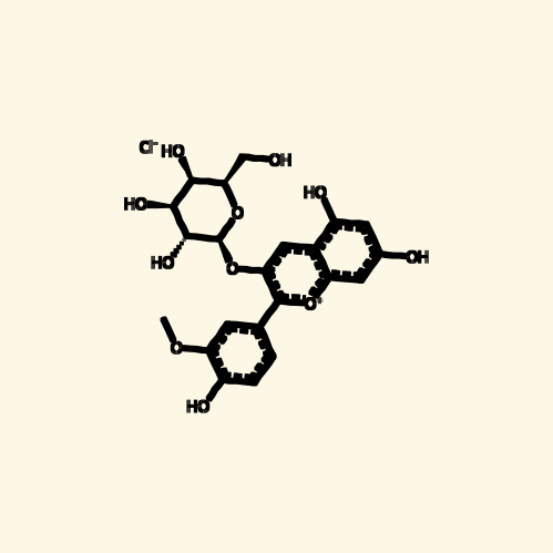 COc1cc(-c2[o+]c3cc(O)cc(O)c3cc2O[C@@H]2O[C@H](CO)[C@H](O)[C@H](O)[C@H]2O)ccc1O.[Cl-]